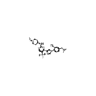 CSN1CCC(Nc2ncc(C(F)(F)F)c(-c3cn(-c4ccc(CN(C)C)cc4Cl)cn3)n2)CC1